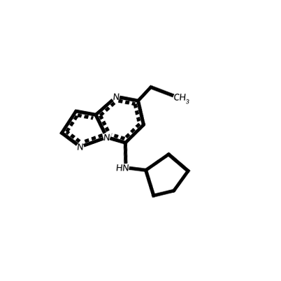 CCc1cc(NC2CCCC2)n2nccc2n1